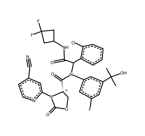 CC(C)(O)c1cc(F)cc(N(C(=O)[C@@H]2COC(=O)N2c2cc(C#N)ccn2)C(C(=O)NC2CC(F)(F)C2)c2ccccc2Cl)c1